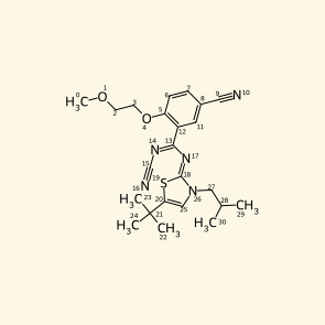 COCCOc1ccc(C#N)cc1C(=NC#N)N=c1sc(C(C)(C)C)cn1CC(C)C